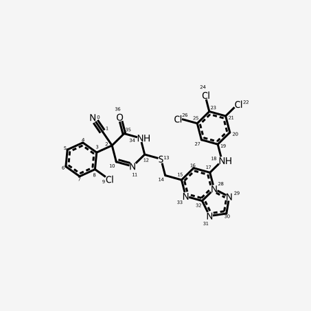 N#CC1(c2ccccc2Cl)C=NC(SCc2cc(Nc3cc(Cl)c(Cl)c(Cl)c3)n3ncnc3n2)NC1=O